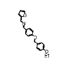 CCOc1ccc(COc2ccc(C=NCc3ccco3)cc2)cc1